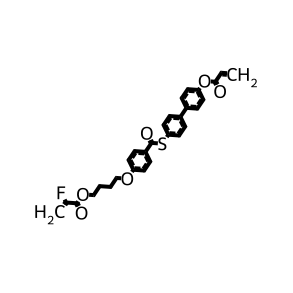 C=CC(=O)Oc1ccc(-c2ccc(SC(=O)c3ccc(OCCCCOC(=O)C(=C)F)cc3)cc2)cc1